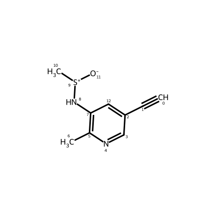 C#Cc1cnc(C)c(N[S+](C)[O-])c1